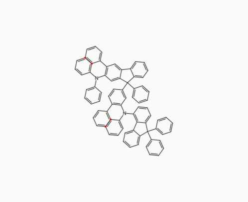 c1ccc(-c2cc3c(cc2N(c2ccccc2)c2ccccc2)C(c2ccccc2)(c2ccc(-c4ccccc4)c(N(c4ccccc4)c4cccc5c4-c4ccccc4C5(c4ccccc4)c4ccccc4)c2)c2ccccc2-3)cc1